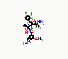 COc1cc(C(=O)NCC(O)(c2nc(-c3ccc(F)c(Cl)c3F)c3c(c2F)[C@@](C)(C(N)=O)CO3)C2CC2)cc2cn(C(F)F)nc12